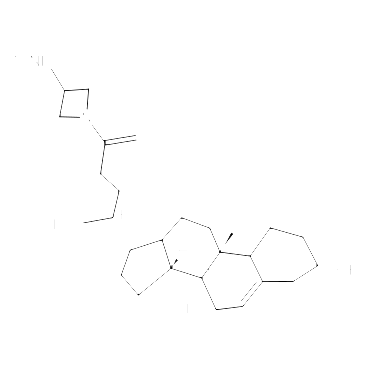 CC(=O)NC1CN(C(=O)CCC(C)[C@H]2CC[C@H]3[C@@H]4CC=C5C[C@@H](O)CC[C@]5(C)[C@H]4CC[C@]23C)C1